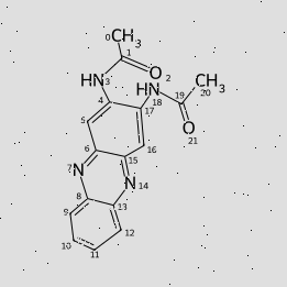 CC(=O)Nc1cc2nc3ccccc3nc2cc1NC(C)=O